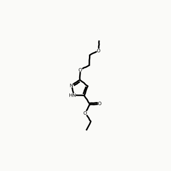 CCOC(=O)c1cc(OCCOC)n[nH]1